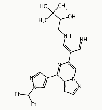 CCC(CC)n1cc(-c2nc(/C(C=N)=C/NCC(O)C(C)(C)O)cn3nccc23)cn1